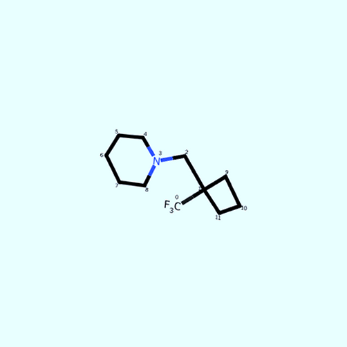 FC(F)(F)C1(CN2CC[CH]CC2)CCC1